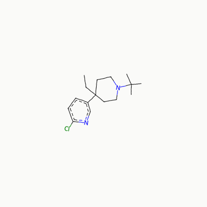 CCC1(c2ccc(Cl)nc2)CCN(C(C)(C)C)CC1